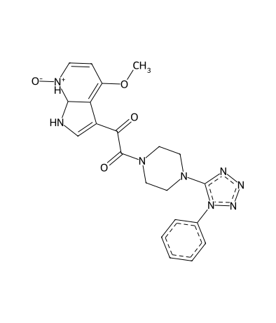 COC1=C2C(C(=O)C(=O)N3CCN(c4nnnn4-c4ccccc4)CC3)=CNC2[NH+]([O-])C=C1